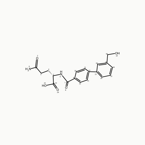 NC(=O)CC[C@H](NC(=O)c1ccc(-c2cccc(CO)c2)cc1)C(=O)O